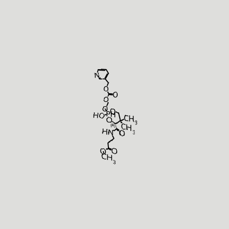 COC(=O)CCNC(=O)[C@@H]1O[PH](O)(OCOC(=O)OCc2cccnc2)OCC1(C)C